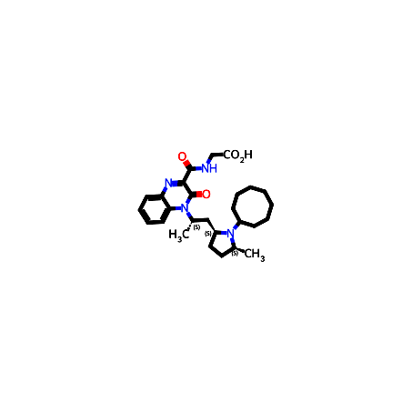 C[C@H]1CC[C@@H](C[C@H](C)n2c(=O)c(C(=O)NCC(=O)O)nc3ccccc32)N1C1CCCCCCC1